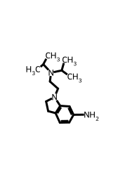 CC(C)N(CCN1CCc2ccc(N)cc21)C(C)C